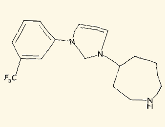 FC(F)(F)c1cccc(N2C=CN(C3CCCNCC3)C2)c1